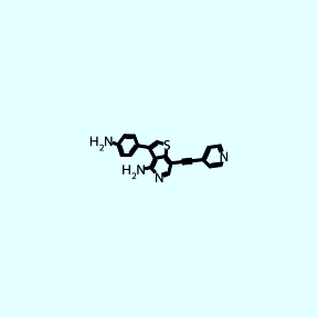 Nc1ccc(-c2csc3c(C#Cc4ccncc4)cnc(N)c23)cc1